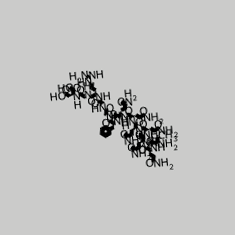 CC(C)[C@H](N)C(=O)N[C@@H](CCC(N)=O)C(=O)N[C@@H](CCC(N)=O)C(=O)N[C@@H](CCC(N)=O)C(=O)N[C@@H](CCC(N)=O)C(=O)N[C@@H](CCC(N)=O)C(=O)N[C@@H](CCC(N)=O)C(=O)N[C@@H](Cc1ccccc1)C(=O)NCC(=O)NCC(=O)N[C@@H](CCCNC(=N)N)C(=O)NCC(=O)N[C@@H](CC(=O)O)C(=O)O